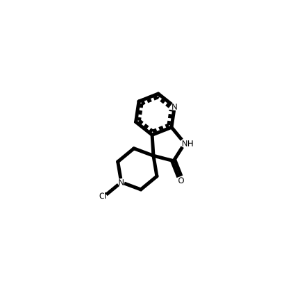 O=C1Nc2ncccc2C12CCN(Cl)CC2